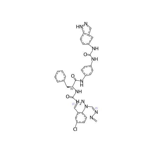 C=N/N=C\N(N)c1ccc(Cl)cc1/C=C/C(=O)N[C@@H](Cc1ccccc1)C(=O)Nc1ccc(NC(=O)Nc2ccc3[nH]ncc3c2)cc1